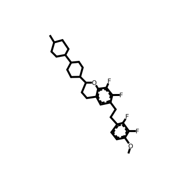 COc1ccc(CCc2cc3c(c(F)c2F)OC(C2CCC(C4CCC(C)CC4)CC2)CC3)c(F)c1F